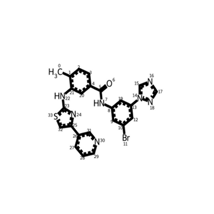 Cc1ccc(C(=O)Nc2cc(Br)cc(-n3cncn3)c2)cc1Nc1nc(-c2cccnc2)cs1